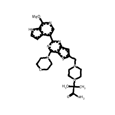 COc1ncc(-c2nc(N3CCOCC3)c3sc(CN4CCN(C(C)(C)C(N)=O)CC4)cc3n2)c2cc[nH]c12